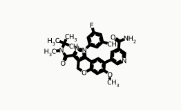 COc1cc2c(cc1-c1cncc(C(N)=O)c1)-c1c(c(C(=O)N(C)C(C)(C)C)nn1-c1cc(C)cc(F)c1)CO2